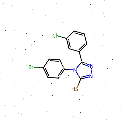 Sc1nnc(-c2cccc(Cl)c2)n1-c1ccc(Br)cc1